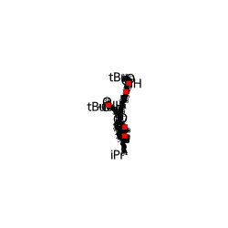 CC(C)CCCCC1CCC2C3CC=C4CC(OC(=O)N(CCCCCCCCCCNC(=O)OC(C)(C)C)CCCNC(=O)OC(C)(C)C)CCC4(C)C3CCC12C